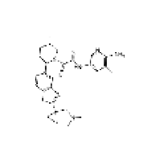 CCc1cc(NC(=O)C(=O)N2C[C@@H](C)CC[C@@H]2c2ccc3sc(C4(CN(C)C)CC4)nc3c2)cnc1N